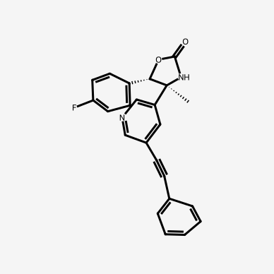 C[C@@]1(c2cncc(C#Cc3ccccc3)c2)NC(=O)O[C@H]1c1ccc(F)cc1